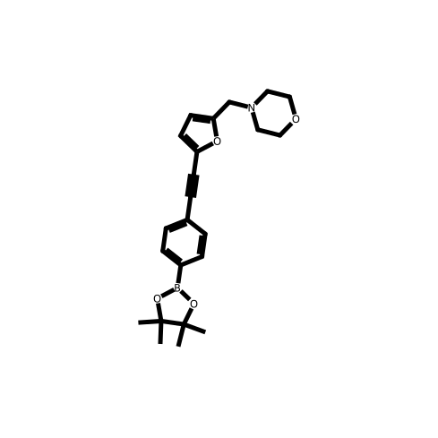 CC1(C)OB(c2ccc(C#Cc3ccc(CN4CCOCC4)o3)cc2)OC1(C)C